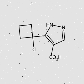 O=C(O)c1cn[nH]c1C1(Cl)CCC1